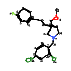 CCOCC1(CCc2ccc(F)cc2)CCN(Cc2ccc(Cl)cc2Cl)C1